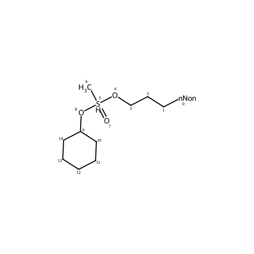 CCCCCCCCCCCCO[SH](C)(=O)OC1CCCCC1